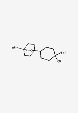 CCCCCC1(C#N)CCC(C23CCC(CCC)(CC2)CC3)CC1